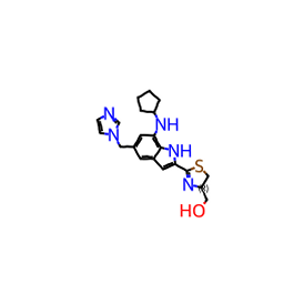 OC[C@@H]1CSC(c2cc3cc(Cn4ccnc4)cc(NC4CCCC4)c3[nH]2)=N1